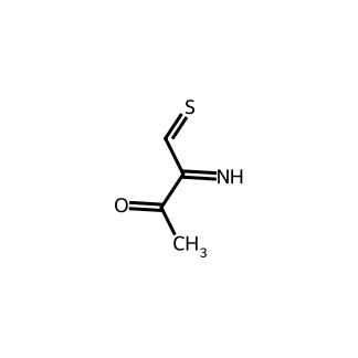 CC(=O)C(=N)C=S